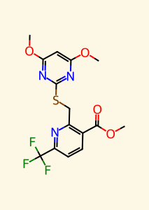 COC(=O)c1ccc(C(F)(F)F)nc1CSc1nc(OC)cc(OC)n1